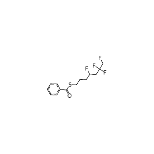 O=C(SCCCC(F)CC(F)(F)CF)c1ccccc1